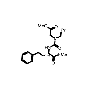 CNC(=O)[C@H](CCc1ccccc1)NC(=O)N(CC(=O)OC)CC(C)C